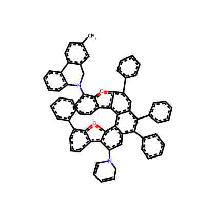 Cc1ccc2c(c1)CN(c1cccc3c1oc1c(-c4ccccc4)cc4c(-c5ccccc5)c(-c5ccccc5)c5cc(N6C=CC=CC6)c6c7cccc(-c8ccccc8)c7oc6c5c4c13)c1ccccc1-2